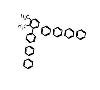 Cc1cccc(-c2ccccc2)c1C.c1ccccc1.c1ccccc1.c1ccccc1.c1ccccc1.c1ccccc1.c1ccccc1